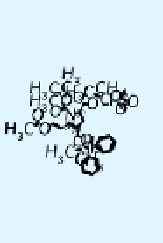 CC(=O)OCC[C@@H]1[C@H](CO[Si](c2ccccc2)(c2ccccc2)C(C)(C)C)C[C@H](C(=O)OC(C)(C)C)N1C(=O)OC(C)(C)C.O=S1(=O)CO1